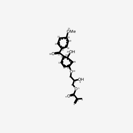 C=C(C)C(=O)OCC(O)COc1ccc(C(=O)c2ccc(OC)cc2)c(O)c1